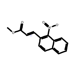 COC(=O)/C=C/c1ccc2ccccc2c1[N+](=O)[O-]